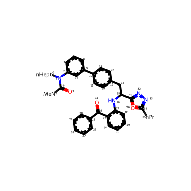 CCCCCCCN(C(=O)NC)c1cccc(-c2ccc(CC(Nc3ccccc3C(=O)c3ccccc3)c3nnc(CCC)o3)cc2)c1